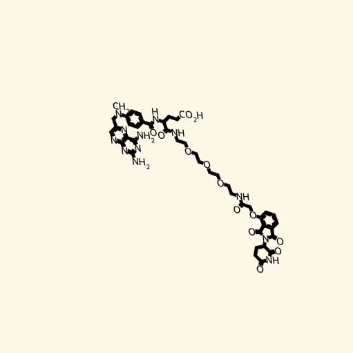 CN(Cc1cnc2nc(N)nc(N)c2n1)c1ccc(C(=O)NC(CCC(=O)O)C(=O)NCCOCCOCCOCCNC(=O)COc2cccc3c2C(=O)N(C2CCC(=O)NC2=O)C3=O)cc1